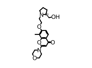 Cc1c(OCCN2CCC[C@H]2CO)ccc2c(=O)cc(N3CCOCC3)oc12